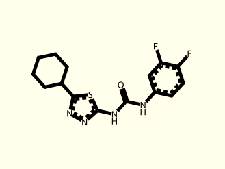 O=C(Nc1ccc(F)c(F)c1)Nc1nnc(C2CCCCC2)s1